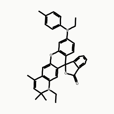 CCN(c1ccc(C)cc1)c1ccc2c(c1)Oc1cc3c(cc1C21OC(=O)c2ccccc21)N(CC)C(C)(C)C=C3C